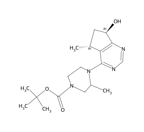 CC1CN(C(=O)OC(C)(C)C)CCN1c1ncnc2c1[C@H](C)C[C@H]2O